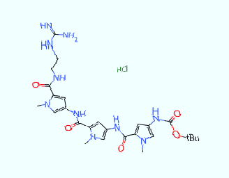 Cl.Cn1cc(NC(=O)c2cc(NC(=O)c3cc(NC(=O)OC(C)(C)C)cn3C)cn2C)cc1C(=O)NCCNC(=N)N